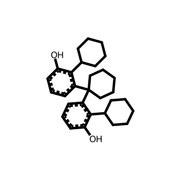 Oc1cccc(C2(c3cccc(O)c3C3CCCCC3)CCCCC2)c1C1CCCCC1